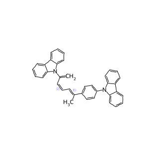 C=C(/C=C\C=C(/C)c1ccc(-n2c3ccccc3c3ccccc32)cc1)n1c2ccccc2c2ccccc21